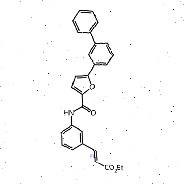 CCOC(=O)/C=C/c1cccc(NC(=O)c2ccc(-c3cccc(-c4ccccc4)c3)o2)c1